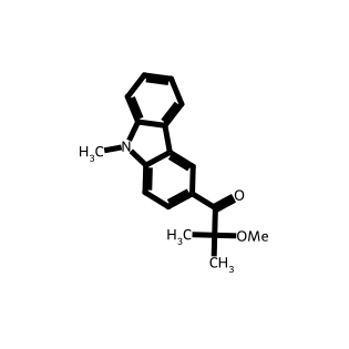 COC(C)(C)C(=O)c1ccc2c(c1)c1ccccc1n2C